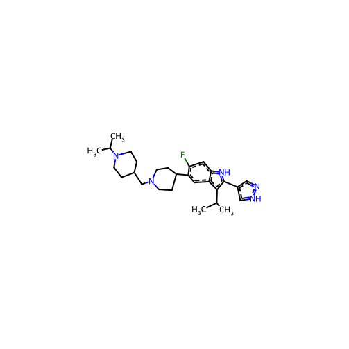 CC(C)c1c(-c2cn[nH]c2)[nH]c2cc(F)c(C3CCN(CC4CCN(C(C)C)CC4)CC3)cc12